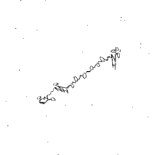 CC(C)(C)OC(=O)NCCOCCOCCOCCOCCOCCOCCC(=O)NCCCCCN1C(=O)C=CC1=O